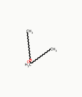 C=C(CCCCCCCCCCCCCCCCC)C(=O)OCCCCCCCCCCCCCCCCCCCC